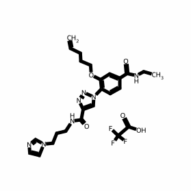 C=CCCCOc1cc(C(=O)NCC)ccc1-n1cc(C(=O)NCCCn2ccnc2)nn1.O=C(O)C(F)(F)F